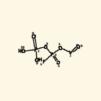 [O]=[V][O]P(=O)(F)OP(=O)(O)O